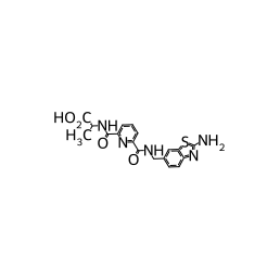 C[C@H](NC(=O)c1cccc(C(=O)NCc2ccc3nc(N)sc3c2)n1)C(=O)O